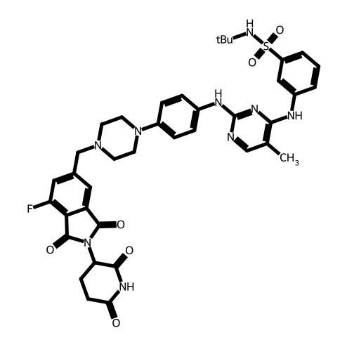 Cc1cnc(Nc2ccc(N3CCN(Cc4cc(F)c5c(c4)C(=O)N(C4CCC(=O)NC4=O)C5=O)CC3)cc2)nc1Nc1cccc(S(=O)(=O)NC(C)(C)C)c1